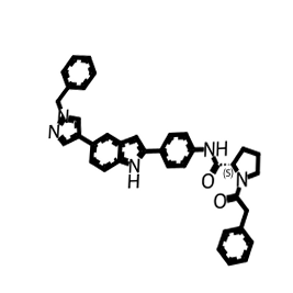 O=C(Nc1ccc(-c2cc3cc(-c4cnn(Cc5ccccc5)c4)ccc3[nH]2)cc1)[C@@H]1CCCN1C(=O)Cc1ccccc1